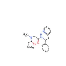 CNCC(=O)N(C)CC(=O)NC(Cc1ccccn1)c1ccccc1